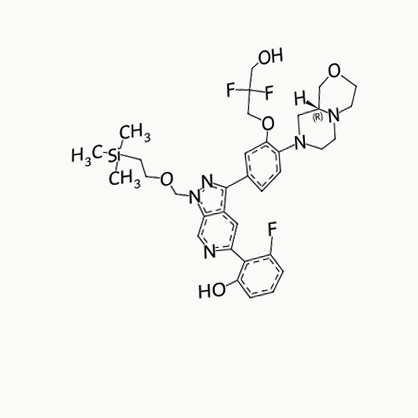 C[Si](C)(C)CCOCn1nc(-c2ccc(N3CCN4CCOC[C@H]4C3)c(OCC(F)(F)CO)c2)c2cc(-c3c(O)cccc3F)ncc21